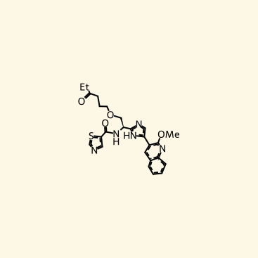 CCC(=O)CCCOC[C@H](NC(=O)c1cncs1)c1ncc(-c2cc3ccccc3nc2OC)[nH]1